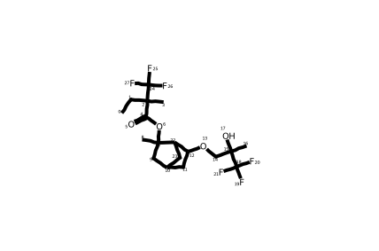 CCC(C)(C(=O)OC1(C)CC2CC(OCC(C)(O)C(F)(F)F)C1C2)C(F)(F)F